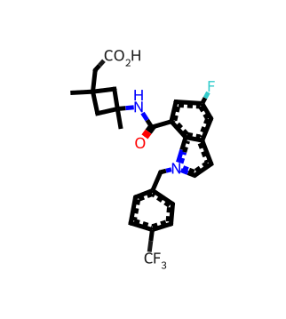 CC1(CC(=O)O)CC(C)(NC(=O)c2cc(F)cc3ccn(Cc4ccc(C(F)(F)F)cc4)c23)C1